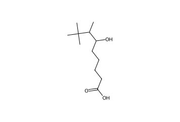 C[C](C(O)CCCCC(=O)O)C(C)(C)C